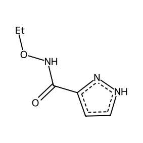 CCONC(=O)c1cc[nH]n1